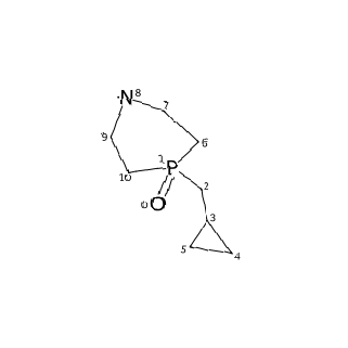 O=P1(CC2CC2)CC[N]CC1